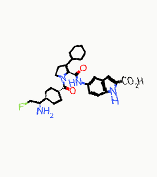 N[C@H](CF)[C@H]1CC[C@H](C(=O)N2CCC(C3CCCCC3)[C@H]2C(=O)Nc2ccc3[nH]c(C(=O)O)cc3c2)CC1